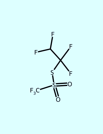 O=S(=O)(SC(F)(F)C(F)F)C(F)(F)F